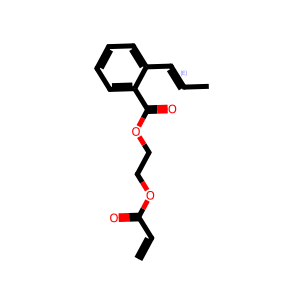 C=CC(=O)OCCOC(=O)c1ccccc1/C=C/C